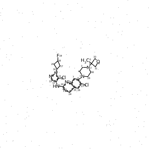 CC1(N2CCN(c3cc4nc(Nc5cnn(C6CC(F)C6)c5Cl)ncc4cc3Cl)CC2)COC1